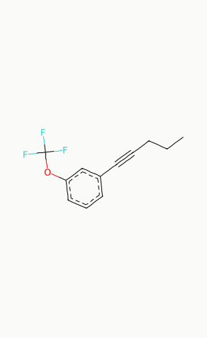 CCCC#Cc1cccc(OC(F)(F)F)c1